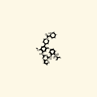 COc1cc(C2CCN(C(=O)C3CCCCN3)CC2)c(C)cc1Nc1nc(Nc2ccccc2S(=O)(=O)C(C)C)n2nccc2n1